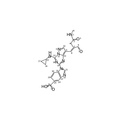 CNC(=O)C/C(C=O)=C\c1cnn2c(NC3CC3)nc(-n3cnc4cc(C(=O)O)ccc43)nc12